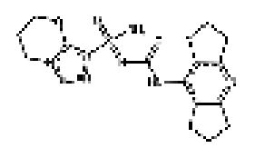 NS(=O)(=NC(=O)Nc1c2c(nc3c1CCC3)CCC2)c1ncn2c1OCCC2